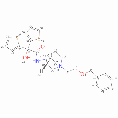 O=C(N[C@H]1C[N+]2(CCOCc3ccccc3)CCC1CC2)C(O)(c1cccs1)c1cccs1